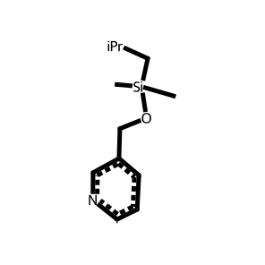 CC(C)C[Si](C)(C)OCc1cc[c]nc1